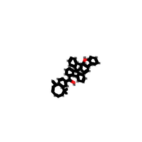 C=C1/C=C\C=C/CC(C)(C)c2cc(C(=O)c3cccc4c3-c3ccccc3C43c4ccccc4-c4c3ccc3c4oc4ccccc43)ccc21